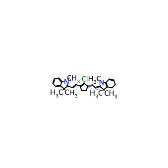 CN1C2=C(CCC=C2)C(C)(C)/C1=C/C=C1\CCC(/C=C/C2=[N+](C)c3ccccc3C2(C)C)=C1Cl